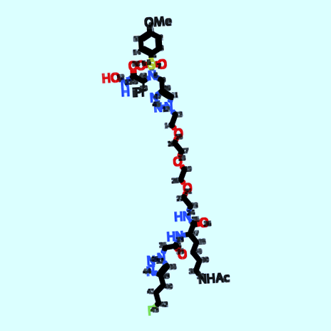 COc1ccc(S(=O)(=O)N(Cc2cn(CCOCCOCCOCCNC(=O)C(CCCCNC(C)=O)NC(=O)Cn3cc(CCCF)nn3)nn2)[C@@H](C(=O)NO)C(C)C)cc1